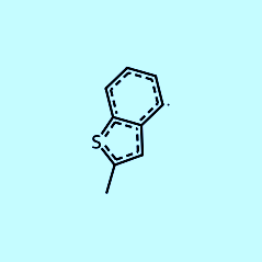 Cc1cc2[c]cccc2s1